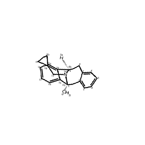 C[C@]12c3ccccc3C[C@H](c3ccccc31)N2CC1CC1